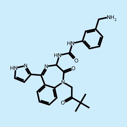 CC(C)(C)C(=O)CN1C(=O)C(NC(=O)Nc2cccc(CN)c2)N=C(c2cc[nH]n2)c2ccccc21